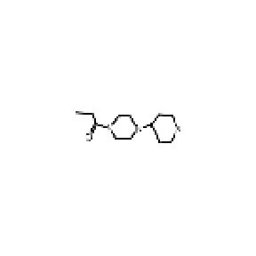 CCC(=O)N1CCN(C2CCSCC2)CC1